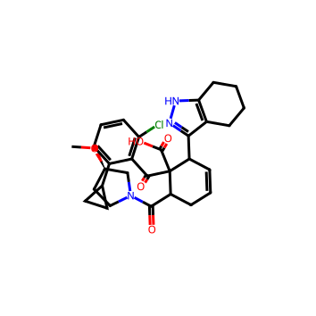 CO[C@@H]1CCN(C(=O)C2CC=CC(c3n[nH]c4c3CCCC4)C2(C(=O)O)C(=O)c2c(Cl)cccc2C2CC2)C1